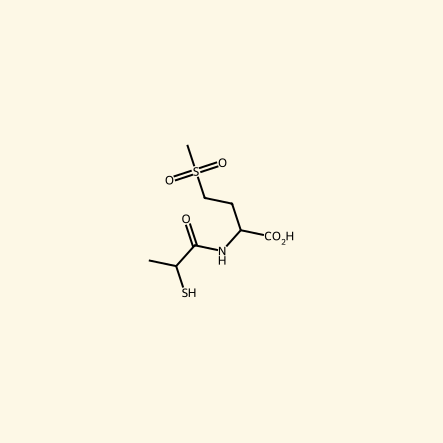 CC(S)C(=O)NC(CCS(C)(=O)=O)C(=O)O